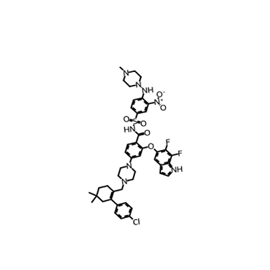 CN1CCN(Nc2ccc(S(=O)(=O)NC(=O)c3ccc(N4CCN(CC5=C(c6ccc(Cl)cc6)CC(C)(C)CC5)CC4)cc3Oc3cc4cc[nH]c4c(F)c3F)cc2[N+](=O)[O-])CC1